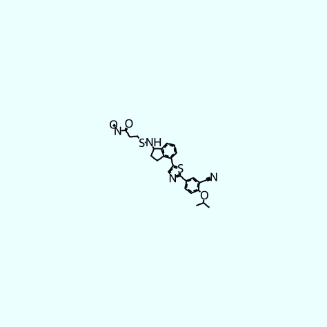 CC(C)Oc1ccc(-c2ncc(-c3cccc4c3CCC4NSCCC(=O)N=O)s2)cc1C#N